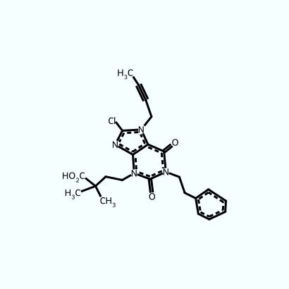 CC#CCn1c(Cl)nc2c1c(=O)n(CCc1ccccc1)c(=O)n2CCC(C)(C)C(=O)O